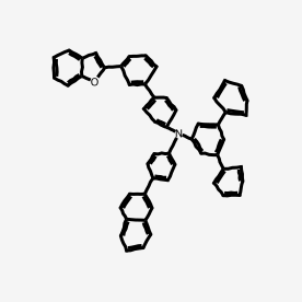 c1ccc(-c2cc(-c3ccccc3)cc(N(c3ccc(-c4cccc(-c5cc6ccccc6o5)c4)cc3)c3ccc(-c4ccc5ccccc5c4)cc3)c2)cc1